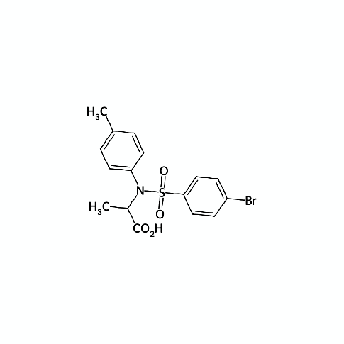 Cc1ccc(N(C(C)C(=O)O)S(=O)(=O)c2ccc(Br)cc2)cc1